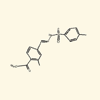 COC(=O)c1ccc(C=NNS(=O)(=O)c2ccc(C)cc2)cc1C